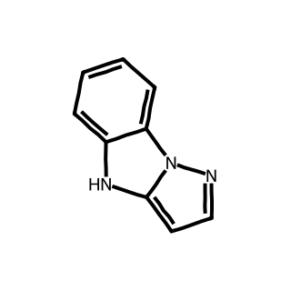 c1ccc2c(c1)[nH]c1ccnn12